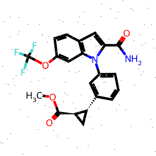 COC(=O)[C@@H]1C[C@H]1c1cccc(-n2c(C(N)=O)cc3ccc(OC(F)(F)F)cc32)c1